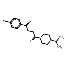 CC(C)N1CCN(C(=O)CCC(=O)c2ccc(Cl)cc2)CC1